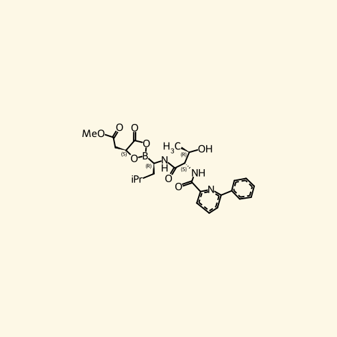 COC(=O)C[C@@H]1OB([C@H](CC(C)C)NC(=O)[C@@H](NC(=O)c2cccc(-c3ccccc3)n2)[C@@H](C)O)OC1=O